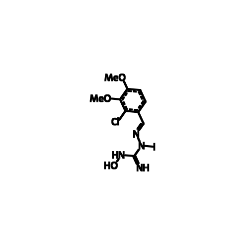 COc1ccc(C=NN(I)C(=N)NO)c(Cl)c1OC